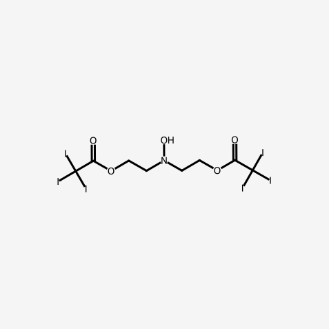 O=C(OCCN(O)CCOC(=O)C(I)(I)I)C(I)(I)I